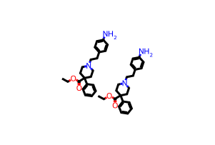 CCOC(=O)C1(c2ccccc2)CCN(CCc2ccc(N)cc2)CC1.CCOC(=O)C1(c2ccccc2)CCN(CCc2ccc(N)cc2)CC1